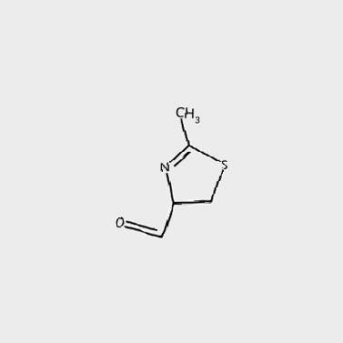 CC1=NC(C=O)CS1